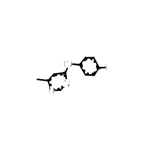 Cc1cc(Nc2ccc(F)cc2)ncn1